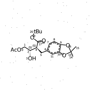 CC(=O)OC[C@@H](O)[C@H](Cc1ccc2c(c1)OC(C)(C)O2)C(=O)OC(C)(C)C